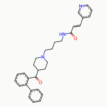 O=C(C=Cc1cccnc1)NCCCCN1CCC(C(=O)c2ccccc2-c2ccccc2)CC1